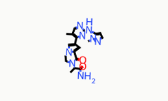 Cc1cnc(Nc2ccnn2C)nc1-c1cc2n(c1)CCN(C(C)C(N)=O)C2=O